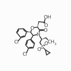 CC[C@@H](CS(=O)(=O)C1CC1)N1C(=O)[C@H](CC(=O)O)O[C@H](c2cccc(Cl)c2)C1c1ccc(Cl)cc1